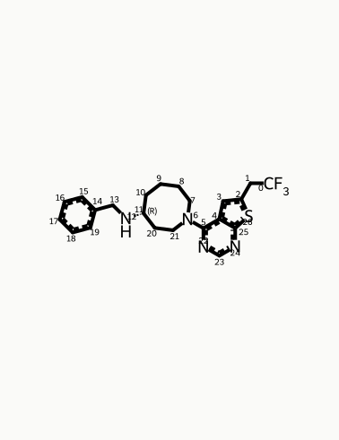 FC(F)(F)Cc1cc2c(N3CCCC[C@@H](NCc4ccccc4)CC3)ncnc2s1